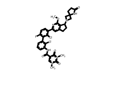 COc1nc(-c2ccc(F)c(-c3cccc(NC(=O)c4cn(C)c(=O)n(C)c4=O)c3Cl)c2Cl)cc2c1C(N1CC3(CCC(=O)N3)C1)CC2